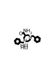 Cl.Cl.NC(=O)C1CN(Cc2ccccc2)CCN(Cc2ccccc2)C1